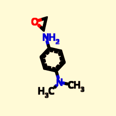 C1CO1.CN(C)c1ccc(N)cc1